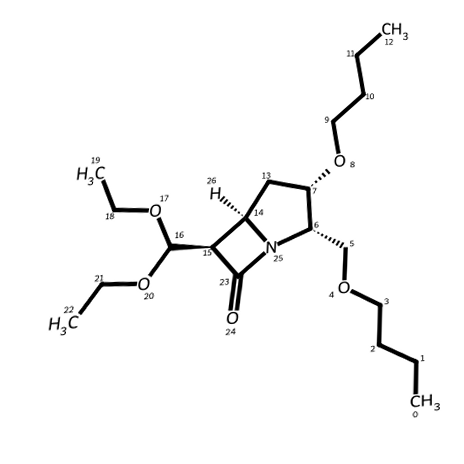 CCCCOC[C@H]1[C@@H](OCCCC)C[C@@H]2[C@H](C(OCC)OCC)C(=O)N21